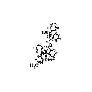 COc1nc(C)cnc1N(c1ccccc1)S(=O)(=O)c1cccnc1COCCO[Si](c1ccccc1)(c1ccccc1)C(C)(C)C